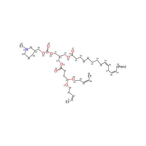 CC/C=C\CCOC(CCC(=O)OCC(COC(=O)CCCCCCC/C=C\C/C=C\CCCCC)COC(=O)OCC1CCCN(CC)C1)OCC/C=C\CC